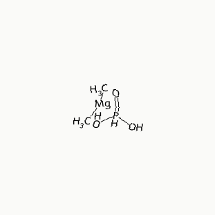 O=[PH](O)O.[CH3][Mg][CH3]